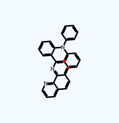 c1ccc(N(c2ccccc2)c2ccccc2-c2ccc3ccc4cccnc4c3n2)cc1